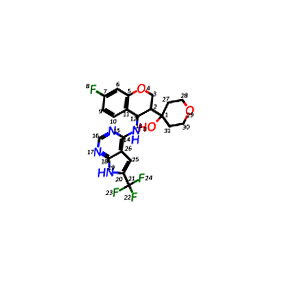 OC1(C2COc3cc(F)ccc3C2Nc2ncnc3[nH]c(C(F)(F)F)cc23)CCOCC1